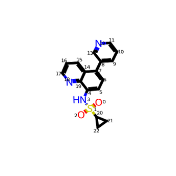 O=S(=O)(Nc1ccc(-c2cccnc2)c2cccnc12)C1CC1